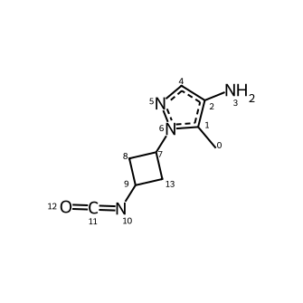 Cc1c(N)cnn1C1CC(N=C=O)C1